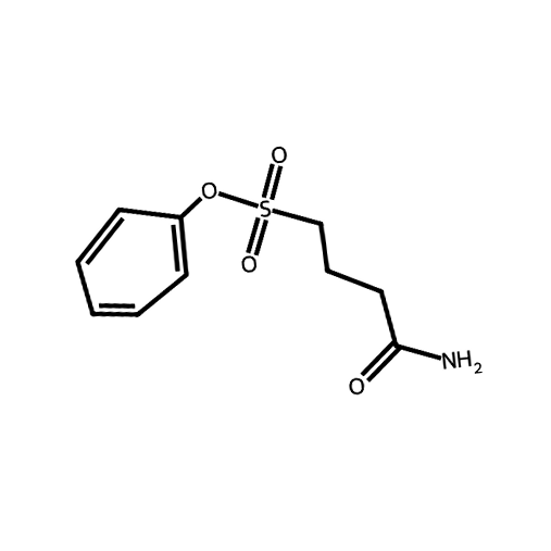 NC(=O)CCCS(=O)(=O)Oc1ccccc1